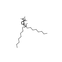 CCCCCCCC[Si](C)(CCCCCCCC)O[Si](C)(C)C